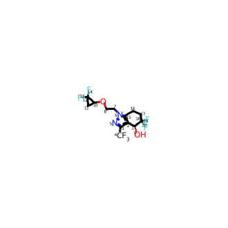 O[C@H]1c2c(C(F)(F)F)nn(CCOC3CC3(F)F)c2CCC1(F)F